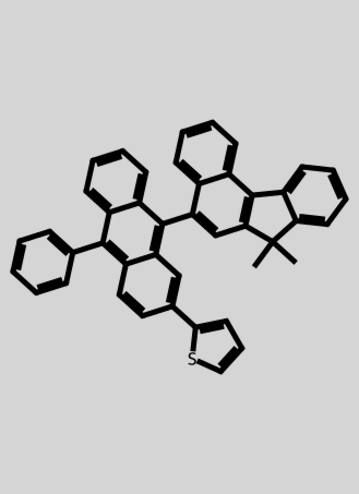 CC1(C)c2ccccc2-c2c1cc(-c1c3ccccc3c(-c3ccccc3)c3ccc(-c4cccs4)cc13)c1ccccc21